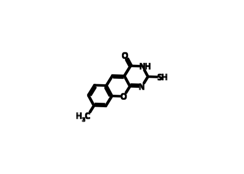 Cc1ccc2c(c1)OC1=NC(S)NC(=O)C1=C2